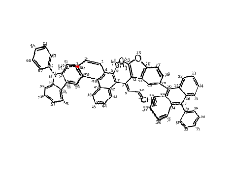 C=C/C=C\c1c(C)c(/C(=C/C=C)c2c(C)oc3ccc(-c4c5ccccc5c(-c5ccccc5)c5ccccc45)cc23)c2ccccc2c1-c1ccc2c(c1)c1ccccc1n2-c1ccccc1